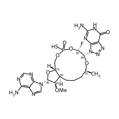 CO[C@@H]1[C@@H]2CCC[C@H](C)O[C@@H](n3nnc4c(=O)[nH]c(N)nc43)[C@@H](F)OP(=O)(S)OC[C@H]2O[C@H]1n1cnc2c(N)ncnc21